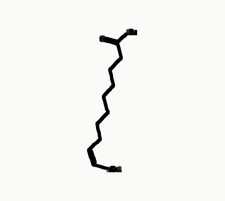 CCCCCCCC/C=C\CCCCCCCC(=O)C(C)(C)C